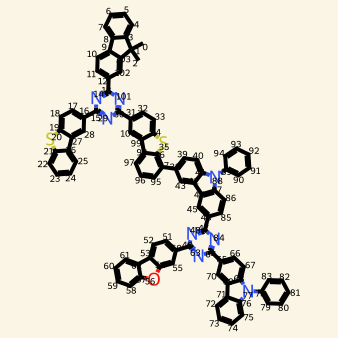 CC1(C)c2ccccc2-c2ccc(-c3nc(-c4ccc5sc6ccccc6c5c4)nc(-c4ccc5sc6c(-c7ccc8c(c7)c7cc(-c9nc(-c%10ccc%11c(c%10)oc%10ccccc%10%11)nc(-c%10ccc%11c(c%10)c%10ccccc%10n%11-c%10ccccc%10)n9)ccc7n8-c7ccccc7)cccc6c5c4)n3)cc21